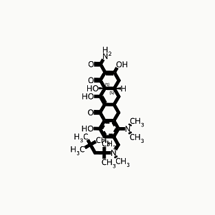 CN(C)c1c(CN(C)C(C)(C)CC(C)(C)C)cc(O)c2c1CC1C[C@H]3CC(O)=C(C(N)=O)C(=O)[C@@]3(O)C(O)=C1C2=O